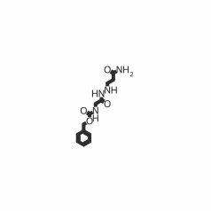 NC(=O)CCNNC(=O)CNC(=O)OCc1ccccc1